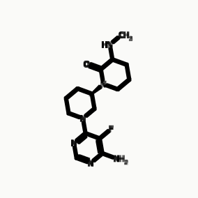 CNC1CCCN([C@@H]2CCCN(c3ncnc(N)c3F)C2)C1=O